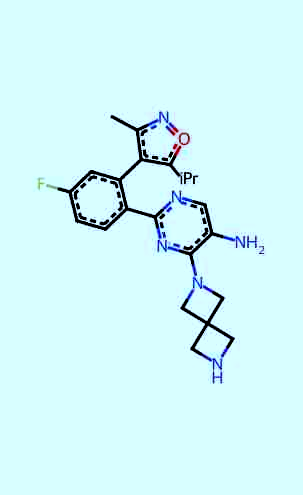 Cc1noc(C(C)C)c1-c1cc(F)ccc1-c1ncc(N)c(N2CC3(CNC3)C2)n1